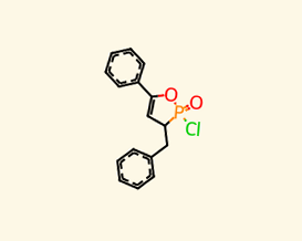 O=P1(Cl)OC(c2ccccc2)=CC1Cc1ccccc1